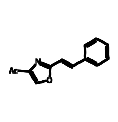 CC(=O)c1coc(/C=C/c2ccccc2)n1